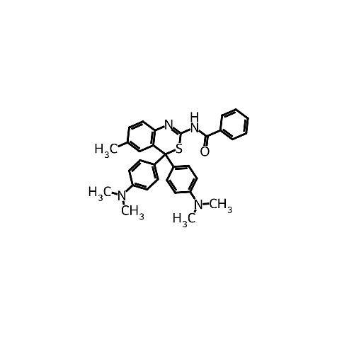 Cc1ccc2c(c1)C(c1ccc(N(C)C)cc1)(c1ccc(N(C)C)cc1)SC(NC(=O)c1ccccc1)=N2